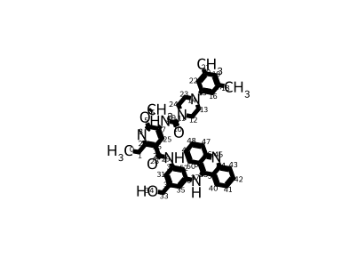 CCc1nc(OC)c(NC(=O)N2CCN(c3cc(C)cc(C)c3)CC2)cc1C(=O)Nc1cc(CO)cc(Nc2c3ccccc3nc3ccccc23)c1